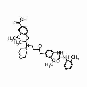 COc1cc(CC(=O)CCN(C(C)Oc2ccc(C(=O)O)cc2OC)N2CCOCC2)ccc1NC(=O)Nc1ccccc1C